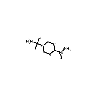 CN(N)C1CCN(C(C)(C)N)CC1